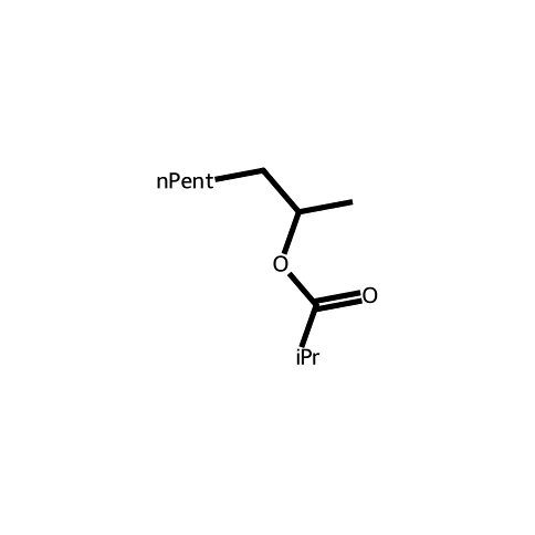 CCCCCCC(C)OC(=O)C(C)C